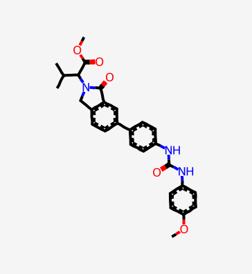 COC(=O)C(C(C)C)N1Cc2ccc(-c3ccc(NC(=O)Nc4ccc(OC)cc4)cc3)cc2C1=O